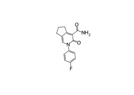 NC(=O)c1c2c(cn(-c3ccc(F)cc3)c1=O)CCC2